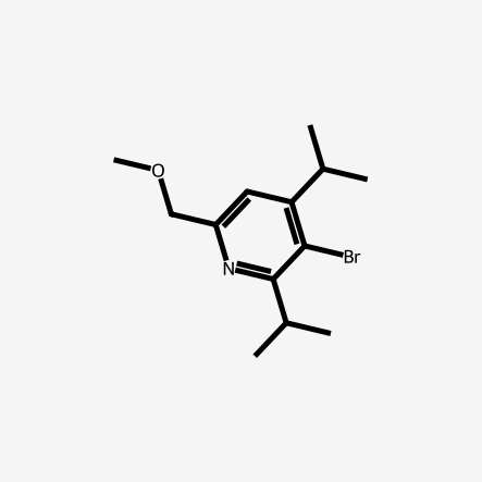 COCc1cc(C(C)C)c(Br)c(C(C)C)n1